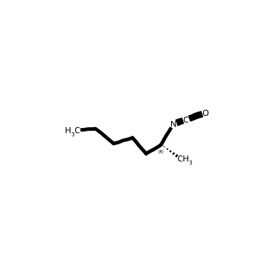 CCCCC[C@@H](C)N=C=O